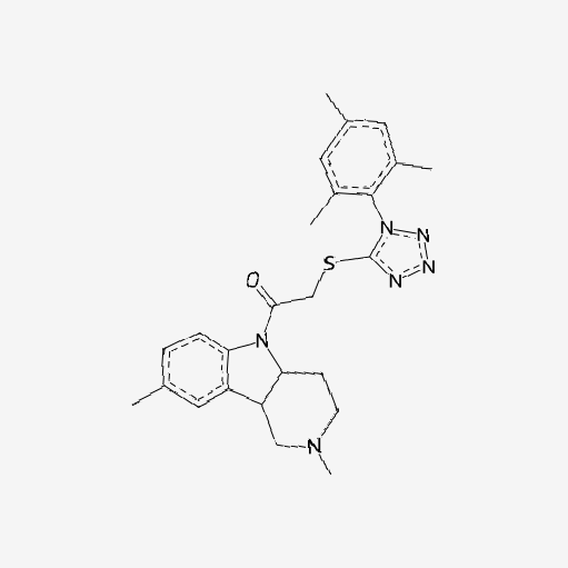 Cc1cc(C)c(-n2nnnc2SCC(=O)N2c3ccc(C)cc3C3CN(C)CCC32)c(C)c1